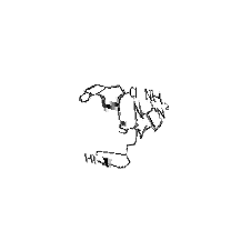 Nc1nccc2c1nc(Sc1cc3occc3cc1Cl)n2CCC1CCNC1